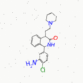 Nc1cc(C2NC(=O)C(CCN3CCCCC3)c3ccccc32)ccc1Cl